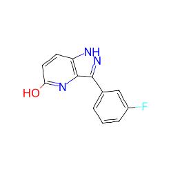 Oc1ccc2[nH]nc(-c3cccc(F)c3)c2n1